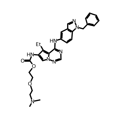 CCc1c(NC(=O)OCCOCCN(C)C)cn2ncnc(Nc3ccc4c(cnn4Cc4ccccc4)c3)c12